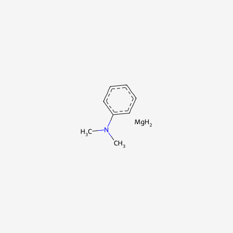 CN(C)c1ccccc1.[MgH2]